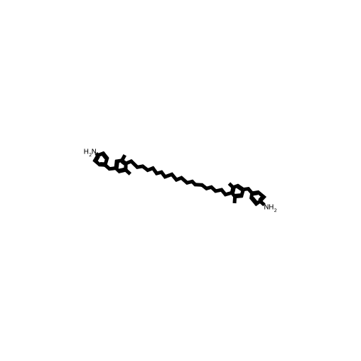 Cc1cc(Cc2ccc(N)cc2)cc(C)c1CCCCCCCCCCCCCCCCCCCCc1c(C)cc(Cc2ccc(N)cc2)cc1C